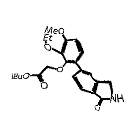 CCOc1c(OC)ccc(-c2ccc3c(c2)CNC3=O)c1OCC(=O)OCC(C)C